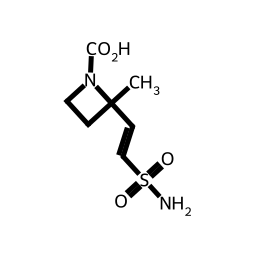 CC1(C=CS(N)(=O)=O)CCN1C(=O)O